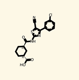 N#Cc1sc(NC(=O)[C@@H]2CCC[C@@H](C(=O)O)C2)nc1-c1cccc(Cl)c1